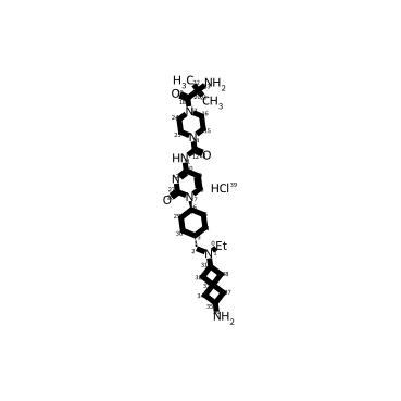 CCN(C[C@H]1CC[C@H](n2ccc(NC(=O)N3CCN(C(=O)C(C)(C)N)CC3)nc2=O)CC1)C1CC2(CC(N)C2)C1.Cl